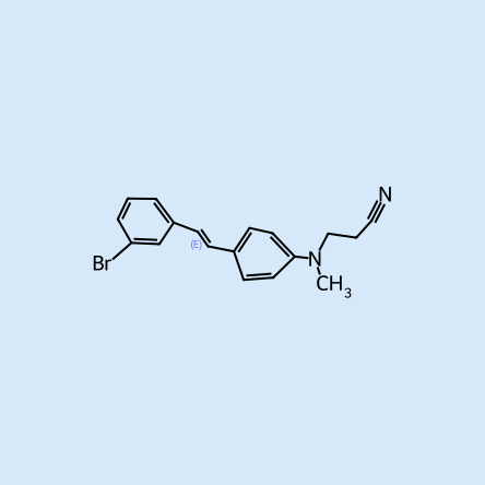 CN(CCC#N)c1ccc(/C=C/c2cccc(Br)c2)cc1